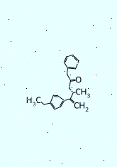 C=C(c1ccc(CC)cc1)C(C)CC(=O)Cc1ccccc1